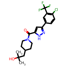 CC(C)(O)CC1CCN(C(=O)c2cc(-c3ccc(Cl)c(C(F)(F)F)c3)n[nH]2)CC1